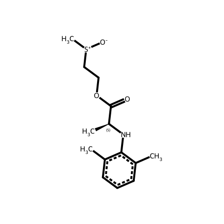 Cc1cccc(C)c1N[C@@H](C)C(=O)OCC[S+](C)[O-]